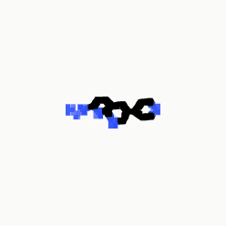 Nc1ccc2cc(-c3ccncc3)cnc2n1